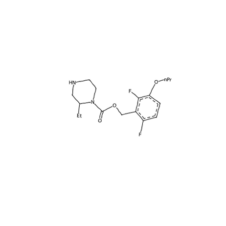 CCCOc1ccc(F)c(COC(=O)N2CCNCC2CC)c1F